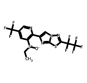 CC[S+]([O-])c1cc(C(F)(F)F)cnc1-c1cn2nc(C(F)(F)C(F)(F)F)sc2n1